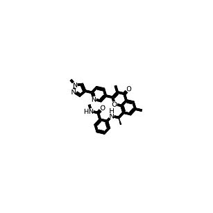 CNC(=O)c1ccccc1N[C@H](C)c1cc(C)cc2c(=O)c(C)c(-c3ccc(-c4cnn(C)c4)nc3)oc12